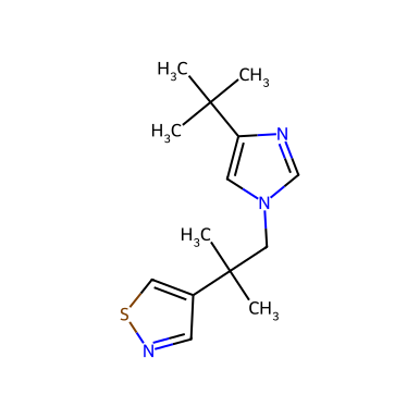 CC(C)(C)c1cn(CC(C)(C)c2cnsc2)cn1